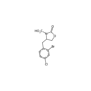 O=C(O)N1C(Cc2ccc(Cl)cc2Br)COS1=O